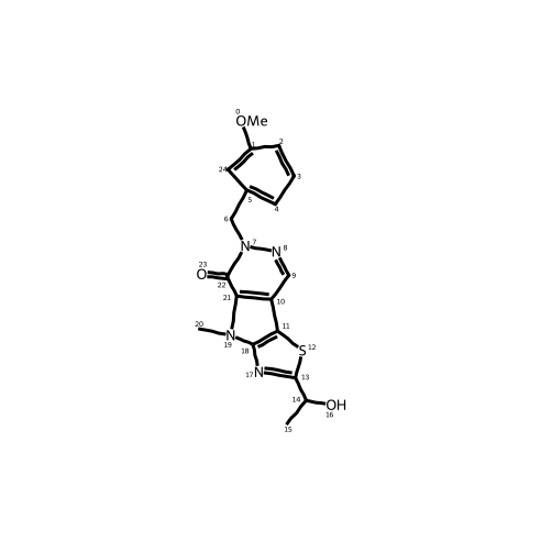 COc1cccc(Cn2ncc3c4sc(C(C)O)nc4n(C)c3c2=O)c1